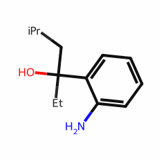 CCC(O)(CC(C)C)c1ccccc1N